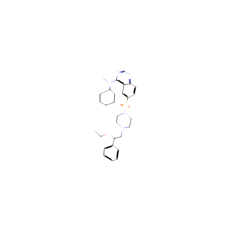 CCOC(CN1CCN(S(=O)(=O)c2ccc3ncnc(N(C)C4CCCCC4)c3c2)CC1)c1ccccc1